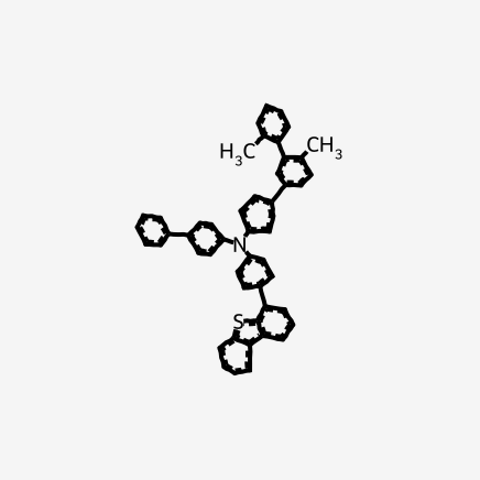 Cc1ccccc1-c1cc(-c2ccc(N(c3ccc(-c4ccccc4)cc3)c3ccc(-c4cccc5c4sc4ccccc45)cc3)cc2)ccc1C